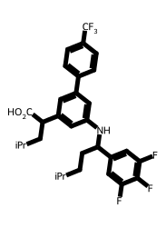 CC(C)CCC(Nc1cc(-c2ccc(C(F)(F)F)cc2)cc(C(CC(C)C)C(=O)O)c1)c1cc(F)c(F)c(F)c1